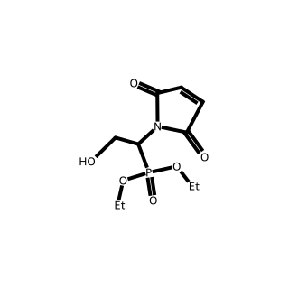 CCOP(=O)(OCC)C(CO)N1C(=O)C=CC1=O